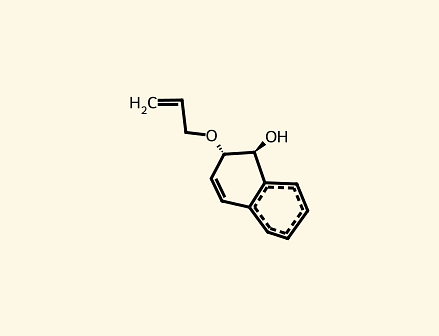 C=CCO[C@H]1C=Cc2ccccc2[C@@H]1O